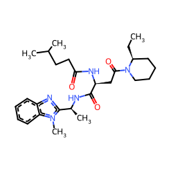 CC[C@H]1CCCCN1C(=O)C[C@H](NC(=O)CCC(C)C)C(=O)N[C@@H](C)c1nc2ccccc2n1C